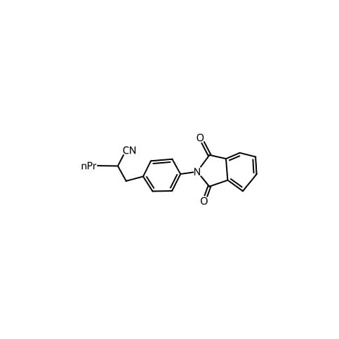 CCCC(C#N)Cc1ccc(N2C(=O)c3ccccc3C2=O)cc1